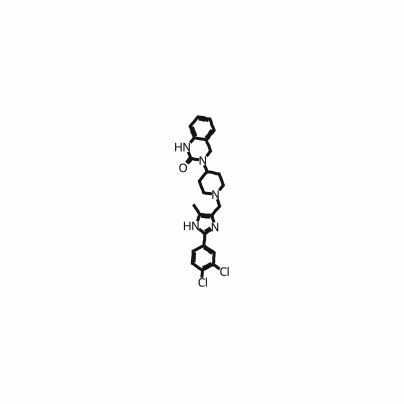 Cc1[nH]c(-c2ccc(Cl)c(Cl)c2)nc1CN1CCC(N2Cc3ccccc3NC2=O)CC1